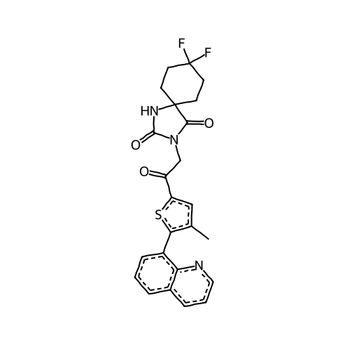 Cc1cc(C(=O)CN2C(=O)NC3(CCC(F)(F)CC3)C2=O)sc1-c1cccc2cccnc12